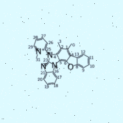 Cc1c(C)c2c(c3oc4ccccc4c13)n1c3ccccc3nc1n2-c1cccc[n+]1C